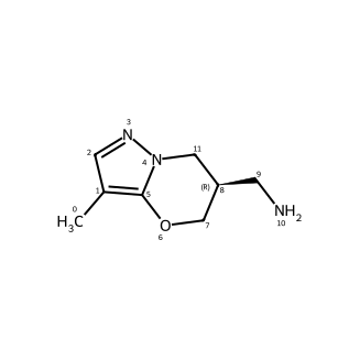 Cc1cnn2c1OC[C@H](CN)C2